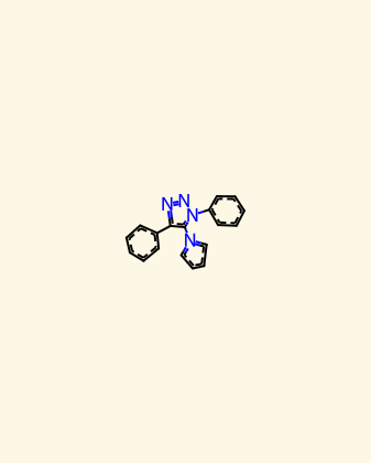 c1ccc(-c2nnn(-c3ccccc3)c2-n2cccc2)cc1